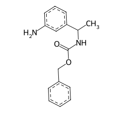 CC(NC(=O)OCc1ccccc1)c1cccc(N)c1